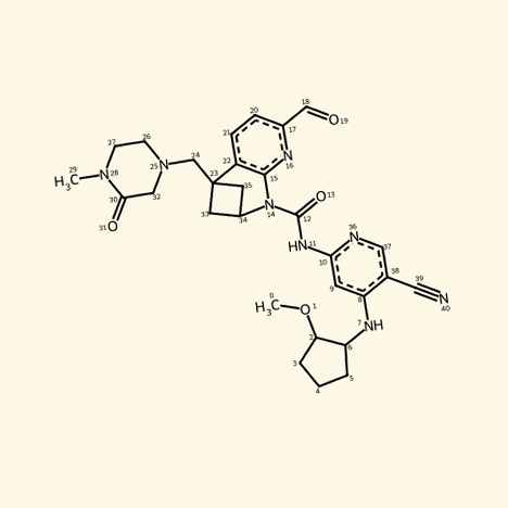 COC1CCCC1Nc1cc(NC(=O)N2c3nc(C=O)ccc3C3(CN4CCN(C)C(=O)C4)CC2C3)ncc1C#N